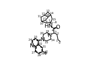 CCCC(C(=O)N[C@@]1(C)CC2CC3CC(C1)C3C2)N1CCN(c2ccnc3ccc(F)cc23)CC1